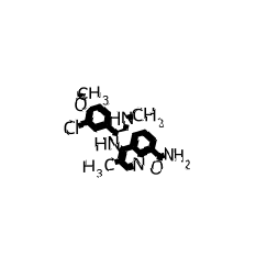 CNC[C@@H](Nc1c(C)cnc2c(C(N)=O)cccc12)c1ccc(OC)c(Cl)c1